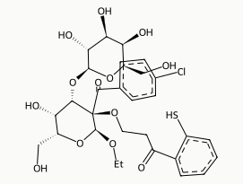 CCO[C@H]1O[C@H](CO)[C@H](O)[C@H](O[C@@H]2O[C@H](CO)[C@H](O)[C@H](O)[C@H]2O)[C@]1(OCCC(=O)c1ccccc1S)C(=O)c1ccc(Cl)cc1